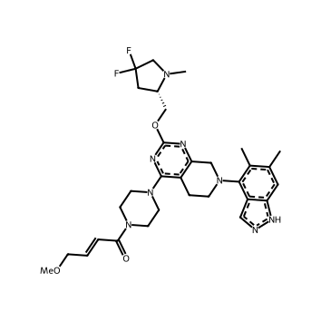 COC/C=C/C(=O)N1CCN(c2nc(OC[C@@H]3CC(F)(F)CN3C)nc3c2CCN(c2c(C)c(C)cc4[nH]ncc24)C3)CC1